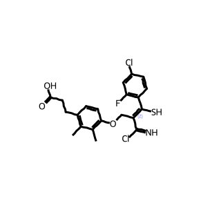 Cc1c(CCC(=O)O)ccc(OC/C(C(=N)Cl)=C(/S)c2ccc(Cl)cc2F)c1C